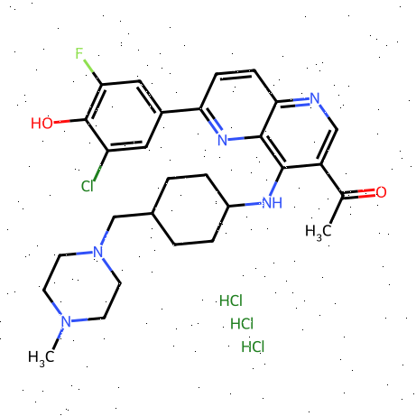 CC(=O)c1cnc2ccc(-c3cc(F)c(O)c(Cl)c3)nc2c1NC1CCC(CN2CCN(C)CC2)CC1.Cl.Cl.Cl